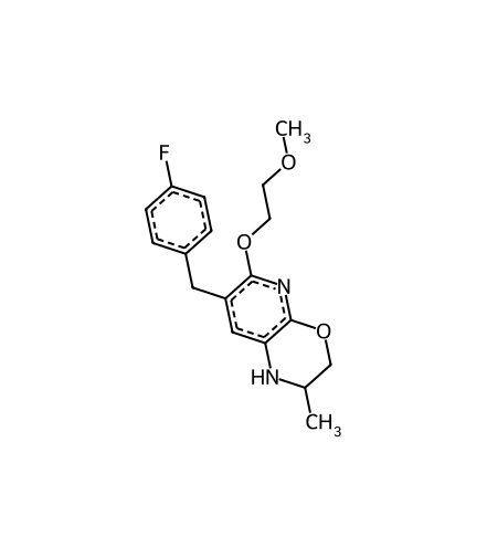 COCCOc1nc2c(cc1Cc1ccc(F)cc1)NC(C)CO2